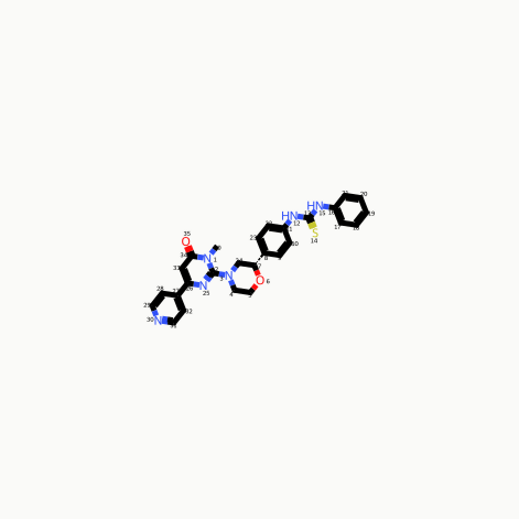 Cn1c(N2CCO[C@@H](c3ccc(NC(=S)Nc4ccccc4)cc3)C2)nc(-c2ccncc2)cc1=O